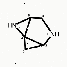 C1NC2CC23NC13